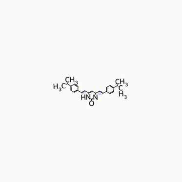 CC(C)c1ccc(/C=C/c2cc(/C=C/c3ccc(C(C)C)cc3)[nH]c(=O)n2)cc1